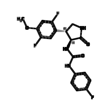 COc1cc(F)c([C@@H]2CNC(=O)[C@H]2NC(=O)Nc2ccc(F)cc2)cc1F